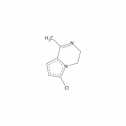 CC1=NCCn2c(Cl)ccc21